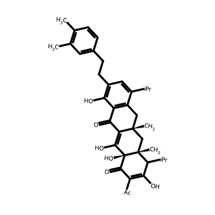 CC(=O)C1=C(O)C(C(C)C)[C@@]2(C)C[C@@]3(C)Cc4c(C(C)C)cc(CCc5ccc(C)c(C)c5)c(O)c4C(=O)C3=C(O)[C@@]2(O)C1=O